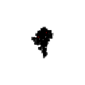 COCCN(C)c1ccc(C2=Nc3ncnc(N)c3C(c3ccccc3)(c3ccccc3)C2c2ccc(OC)c(OC)c2)cc1